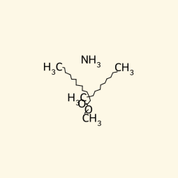 CCCCCCCCCCC(C)(CCCCCCCCCC)CC(=O)OCC.N